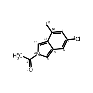 CC(=O)n1cc2cc(Cl)cc(I)c2c1